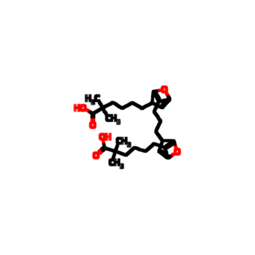 CC(C)(CCCCC1=C2OC1=CC2CCCC1=C2OC1=CC2CCCCC(C)(C)C(=O)O)C(=O)O